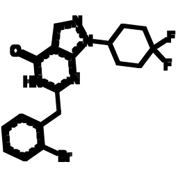 O=c1[nH]c(Cc2ccccc2Br)nc2c1cnn2C1CCC(F)(F)CC1